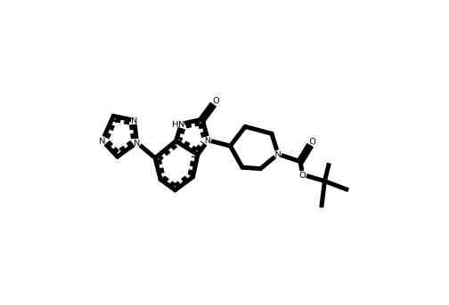 CC(C)(C)OC(=O)N1CCC(n2c(=O)[nH]c3c(-n4cncn4)cccc32)CC1